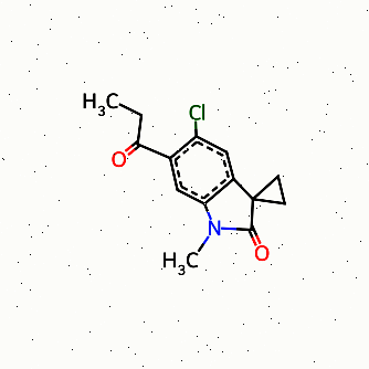 CCC(=O)c1cc2c(cc1Cl)C1(CC1)C(=O)N2C